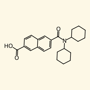 O=C(O)c1ccc2cc(C(=O)N(C3CCCCC3)C3CCCCC3)ccc2c1